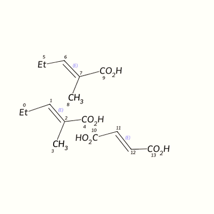 CC/C=C(\C)C(=O)O.CC/C=C(\C)C(=O)O.O=C(O)/C=C/C(=O)O